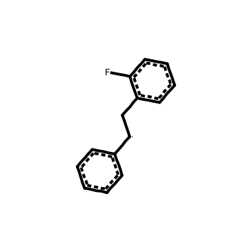 Fc1ccccc1C[CH]c1ccccc1